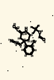 CC(C)(C)OC=O.[N-]=[N+]=NC1(c2ccccc2Br)CCNC(=C=O)C1